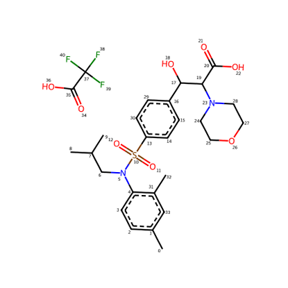 Cc1ccc(N(CC(C)C)S(=O)(=O)c2ccc(C(O)C(C(=O)O)N3CCOCC3)cc2)c(C)c1.O=C(O)C(F)(F)F